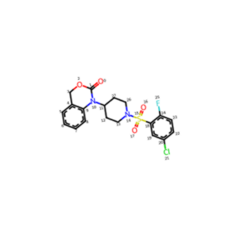 O=C1OCc2ccccc2N1C1CCN(S(=O)(=O)c2cc(Cl)ccc2F)CC1